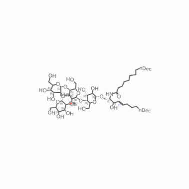 CCCCCCCCCCCCC/C=C/[C@@H](O)[C@H](CO[C@@H]1OC(CO)[C@@H](O[C@@H]2OC(CO)[C@H](O[C@@H]3OC(CO)[C@H](O)[C@H](O)C3NC(C)=O)[C@H](O[C@H]3OC(CO)[C@H](O)[C@H](O)C3O)C2O)[C@H](O)C1O)NC(=O)CCCCCCCCCCCCCCCCC